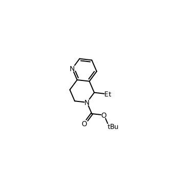 CCC1c2cccnc2CCN1C(=O)OC(C)(C)C